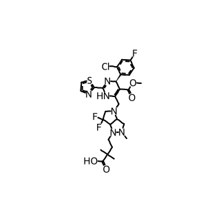 COC(=O)C1=C(CN2CC(F)(F)C3C2CN(C)N3CCC(C)(C)C(=O)O)NC(c2nccs2)=N[C@H]1c1ccc(F)cc1Cl